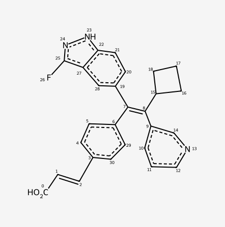 O=C(O)C=Cc1ccc(C(=C(c2cccnc2)C2CCC2)c2ccc3[nH]nc(F)c3c2)cc1